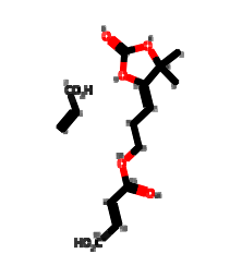 C=CC(=O)O.CC1(C)OC(=O)OC1=CCCOC(=O)/C=C/C(=O)O